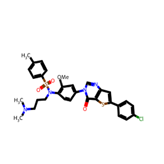 COc1cc(-n2cnc3cc(-c4ccc(Cl)cc4)sc3c2=O)ccc1N(CCCN(C)C)S(=O)(=O)c1ccc(C)cc1